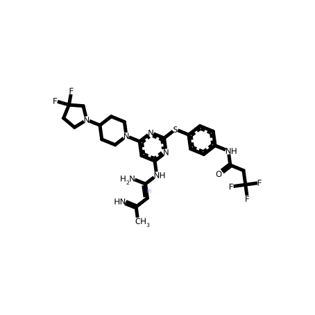 CC(=N)/C=C(\N)Nc1cc(N2CCC(N3CCC(F)(F)C3)CC2)nc(Sc2ccc(NC(=O)CC(F)(F)F)cc2)n1